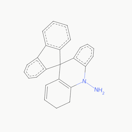 NN1C2=C(C=CCC2)C2(c3ccccc3-c3ccccc32)c2ccccc21